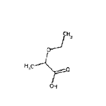 CCOC(C)C(=O)O